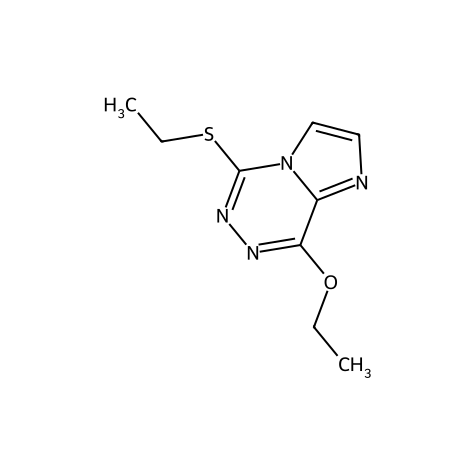 CCOc1nnc(SCC)n2ccnc12